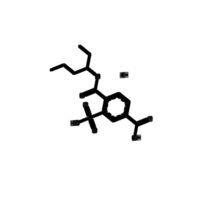 CCCC(CC)OC(=O)c1ccc(C(=O)O)cc1S(=O)(=O)O.[KH]